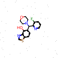 Oc1c(C(c2ncccc2F)N2CCOCC2)ccc2scnc12